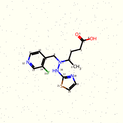 CC(CCC(=O)O)N(Cc1ccncc1F)Nc1nccs1